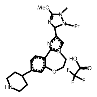 COC1=NC(c2cn3c(n2)-c2ccc(C4CCNCC4)cc2OCC3)N(C(C)C)N1C.O=C(O)C(F)(F)F